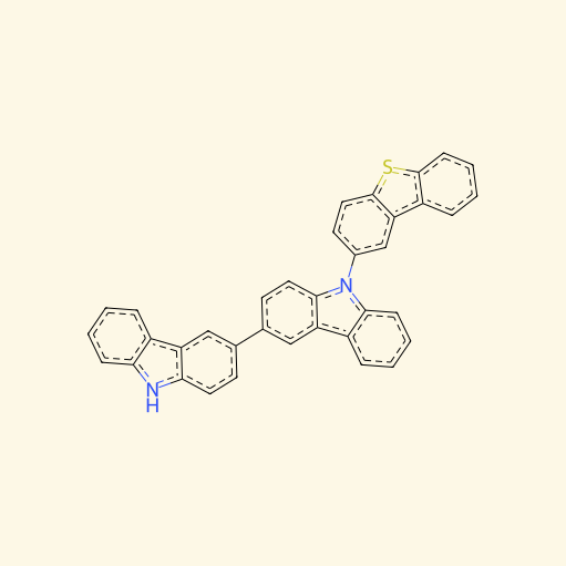 c1ccc2c(c1)[nH]c1ccc(-c3ccc4c(c3)c3ccccc3n4-c3ccc4sc5ccccc5c4c3)cc12